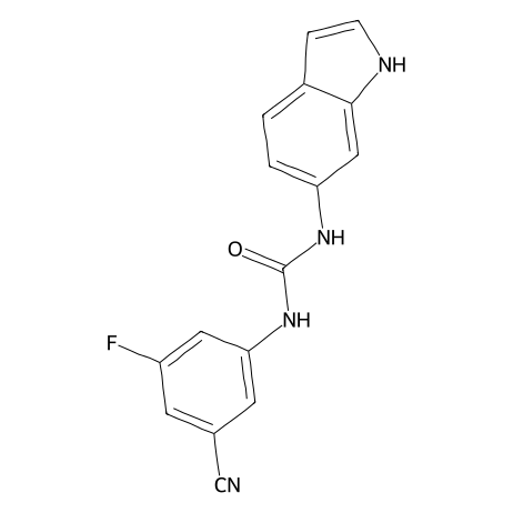 N#Cc1cc(F)cc(NC(=O)Nc2ccc3cc[nH]c3c2)c1